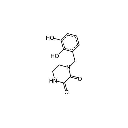 O=C1NCCN(Cc2cccc(O)c2O)C1=O